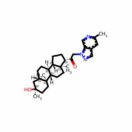 Cc1cc2cnn(CC(=O)[C@H]3CC[C@H]4[C@@H]5CC[C@H]6C[C@](C)(O)CC[C@]6(C)[C@H]5CC[C@]34C)c2cn1